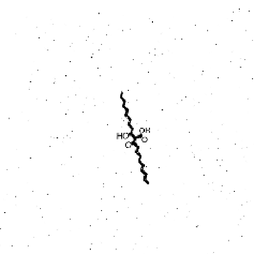 CCCCCCCCCC(=O)C(C(=O)O)C(O)CCCCCCCCC